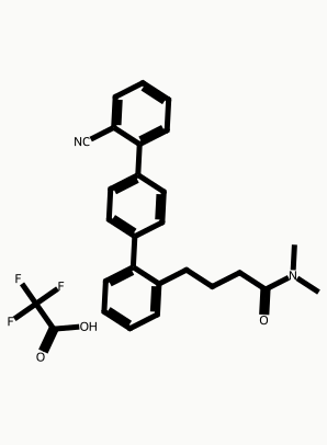 CN(C)C(=O)CCCc1ccccc1-c1ccc(-c2ccccc2C#N)cc1.O=C(O)C(F)(F)F